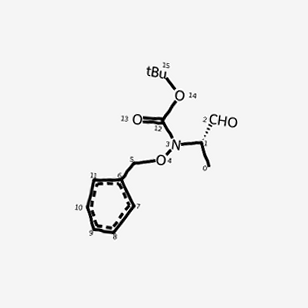 C[C@@H](C=O)N(OCc1ccccc1)C(=O)OC(C)(C)C